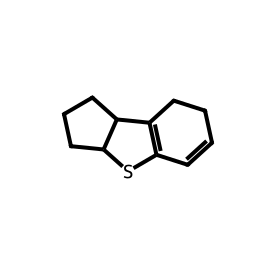 C1=CC2=C(CC1)C1CCCC1S2